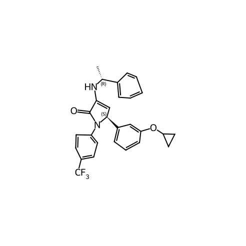 C[C@@H](NC1=C[C@@H](c2cccc(OC3CC3)c2)N(c2ccc(C(F)(F)F)cc2)C1=O)c1ccccc1